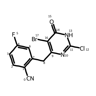 N#Cc1ccc(F)cc1Cc1nc(Cl)[nH]c(=O)c1Br